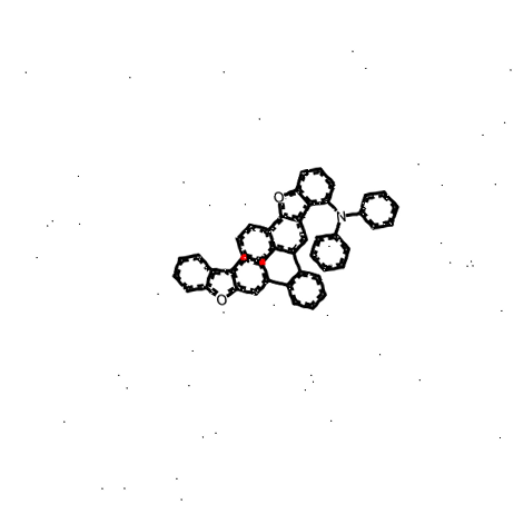 c1ccc(N(c2ccccc2)c2cccc3oc4c5ccccc5c(-c5ccccc5-c5ccc6c(c5)oc5ccccc56)cc4c23)cc1